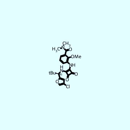 COc1c(Nc2c(N[C@@H](c3cc(Cl)co3)C(C)(C)C)c(=O)c2=O)cccc1C(=O)N(C)C